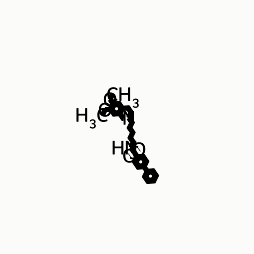 COc1cc2c(cc1OC)CN(CCCCCNS(=O)(=O)c1ccc(-c3ccccc3)cc1)CC2